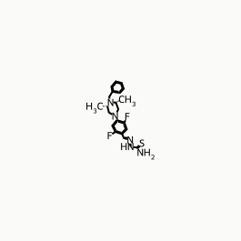 C[C@@H]1CN(c2cc(F)c(/C=N/NC(N)=S)cc2F)C[C@H](C)N1Cc1ccccc1